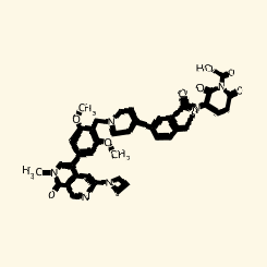 COc1cc(-c2cn(C)c(=O)c3cnc(N4CCC4)cc23)cc(OC)c1CN1CCC(c2ccc3c(c2)C(=O)N(C2CCC(=O)N(C(=O)O)C2=O)C3)CC1